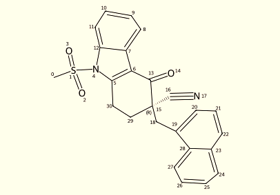 CS(=O)(=O)n1c2c(c3ccccc31)C(=O)[C@@](C#N)(Cc1cccc3ccccc13)CC2